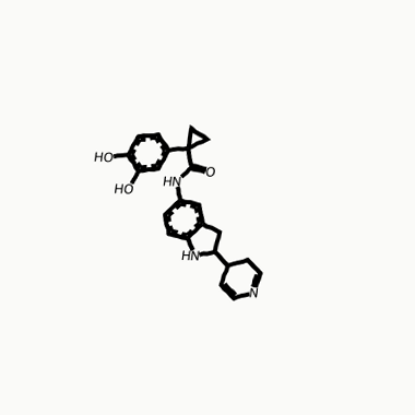 O=C(Nc1ccc2c(c1)CC(C1C=CN=CC1)N2)C1(c2ccc(O)c(O)c2)CC1